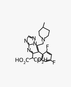 CC1CCN(Cc2c(-c3c(F)cc(F)cc3F)c(C(C(=O)O)C(=O)O)nc3ncnn23)CC1